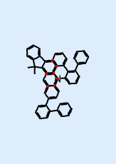 CC1(C)c2ccccc2-c2ccc(N(c3ccc(-c4ccccc4-c4ccccc4)cc3)c3cccc(-c4ccccc4)c3-c3ccccc3-c3ccccc3)cc21